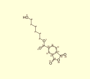 O=C(OCCCCCCO)c1ccc2c(c1)C(=O)OC2=O